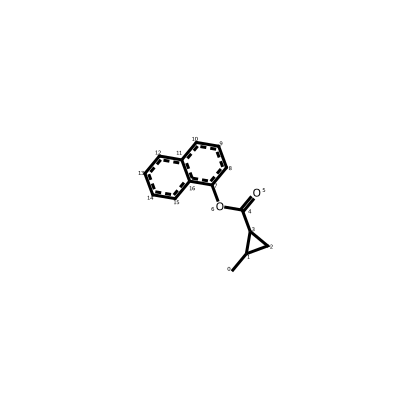 CC1CC1C(=O)Oc1cccc2ccccc12